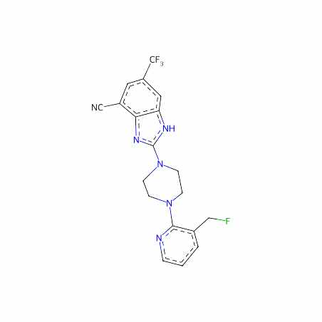 N#Cc1cc(C(F)(F)F)cc2[nH]c(N3CCN(c4ncccc4CF)CC3)nc12